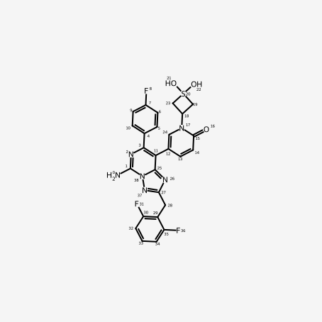 Nc1nc(-c2ccc(F)cc2)c(-c2ccc(=O)n(C3CS(O)(O)C3)c2)c2nc(Cc3c(F)cccc3F)nn12